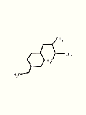 CCN1CCC(CC(C)C(C)C)CC1